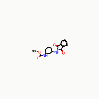 CC(C)(C)OC(=O)NC1CCCC(NN2C(=O)c3ccccc3C2=O)C1